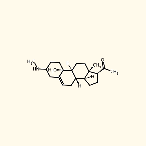 CNC1CC[C@@]2(C)C(=CC[C@H]3[C@@H]4CC[C@H](C(C)=O)[C@@]4(C)CC[C@@H]32)C1